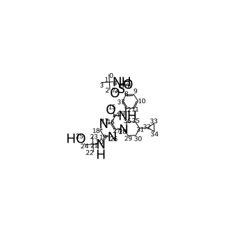 CC(C)(C)NS(=O)(=O)c1cccc(NC(=O)c2ncc(NC(C)(C)CO)nc2N2CCC(C3CC3)CC2)c1